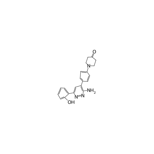 Nc1nnc(-c2ccccc2O)cc1-c1ccc(N2CCC(=O)CC2)cc1